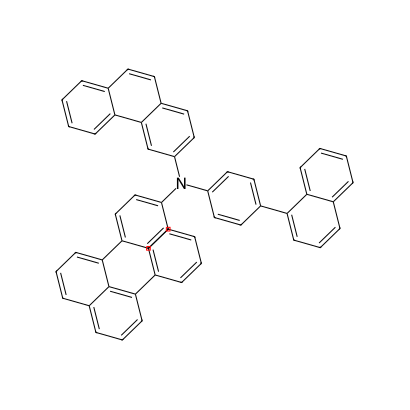 c1ccc(-c2cccc3cccc(-c4ccc(N(c5ccc(-c6cccc7ccccc67)cc5)c5ccc6ccc7ccccc7c6c5)cc4)c23)cc1